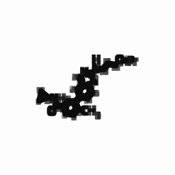 Cc1ccc(C(=O)NC2CC2)cc1-c1ccc2nc(NCCCOC(C)C)ncc2c1